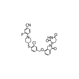 N#Cc1ccc(N2CCC(Sc3ccc(COc4cccc5c4CN([C@H]4CCC(=O)NC4=O)C5=O)cc3Cl)CC2)c(F)c1